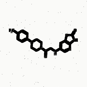 O=C(CNc1cnc2[nH]c(=O)oc2c1)N1CCN(c2ccc(C(F)(F)F)cc2)CC1